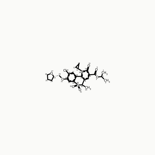 CC(C)OC(=O)c1cc2c(n(C3CC3)c1=O)-c1cc(Cl)c(OC[C@@H]3CCCO3)cc1S(=O)(=O)C2C